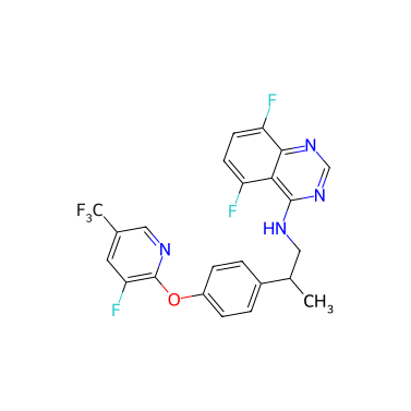 CC(CNc1ncnc2c(F)ccc(F)c12)c1ccc(Oc2ncc(C(F)(F)F)cc2F)cc1